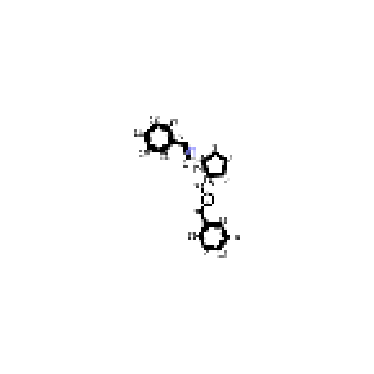 C(=C\[C@@H]1CCC[C@@H]1COCc1ccccc1)/c1ccccc1